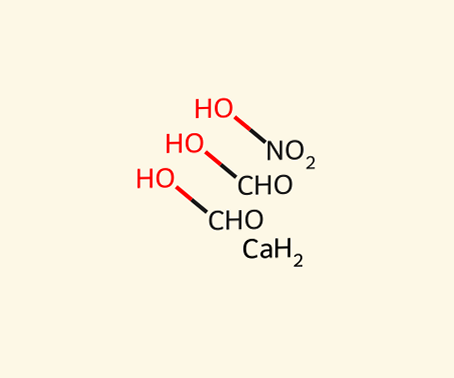 O=CO.O=CO.O=[N+]([O-])O.[CaH2]